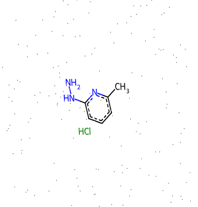 Cc1cccc(NN)n1.Cl